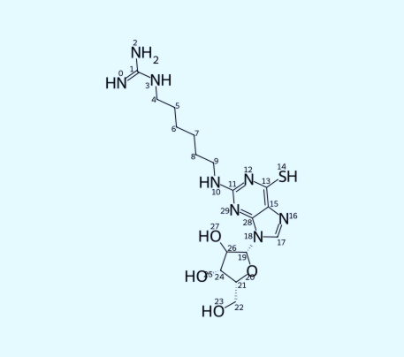 N=C(N)NCCCCCCNc1nc(S)c2ncn([C@@H]3O[C@H](CO)[C@H](O)C3O)c2n1